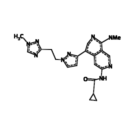 CNc1ncc(-c2ccn(CCc3ncn(C)n3)n2)c2cc(NC(=O)C3CC3)ncc12